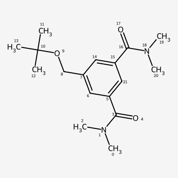 CN(C)C(=O)c1cc(COC(C)(C)C)cc(C(=O)N(C)C)c1